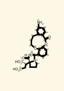 NC(=O)[C@]1([C@H](CC(=O)O)C(=O)O)CCCN1C(=O)c1cccc2c1OCCCc1cc(N)ccc1C(=O)O2